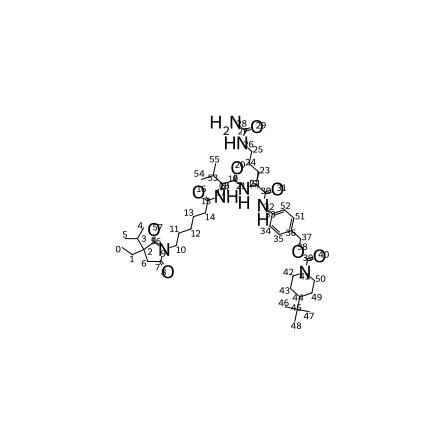 CCC1(C(C)C)CC(=O)N(CCCCCC(=O)N[C@H](C(=O)N[C@@H](CCCNC(N)=O)C(=O)Nc2ccc(COC(=O)N3CCC(C(C)(C)C)CC3)cc2)C(C)C)C1=O